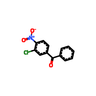 O=C(c1ccccc1)c1ccc([N+](=O)[O-])c(Cl)c1